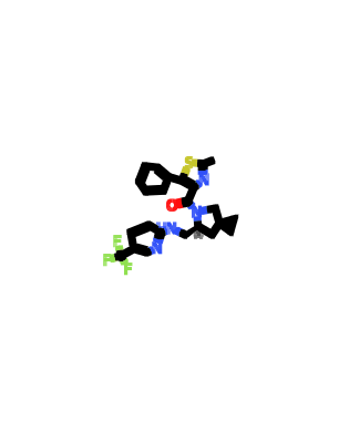 Cc1nc(C(=O)N2CC3(CC3)C[C@H]2CNc2ccc(C(F)(F)F)cn2)c(-c2ccccc2)s1